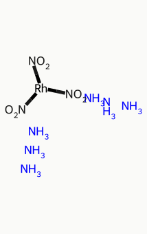 N.N.N.N.N.N.O=[N+]([O-])[Rh]([N+](=O)[O-])[N+](=O)[O-]